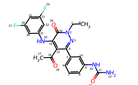 CCn1nc(-c2cccc(NC(N)=O)c2)c(C(C)=O)c(Nc2cc(F)cc(F)c2)c1=O